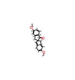 COC1=CCC2=CC3(CC2=C1)Cc1cc(OC)ccc1C3=O